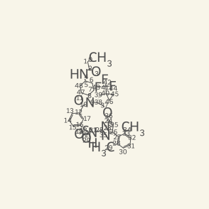 CCC(=O)N[C@H]1CC[C@H](N2C(=O)c3cccc(c3)S(=O)(=O)Nc3nc(cc(-c4c(C)cccc4C)n3)OC[C@H]2CC2(C(F)(F)F)CC2)CC1